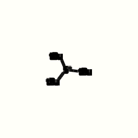 CC(C)(C)[S+](C(C)(C)C)C(C)(C)C